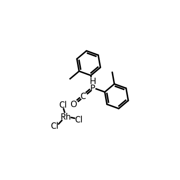 Cc1ccccc1[PH](=C=O)c1ccccc1C.[Cl][Rh]([Cl])[Cl]